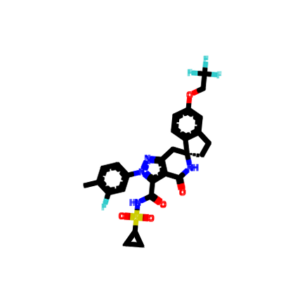 Cc1ccc(-n2nc3c(c2C(=O)NS(=O)(=O)C2CC2)C(=O)N[C@@]2(CCc4cc(OCC(F)(F)F)ccc42)C3)cc1F